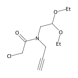 C#CCN(CC(OCC)OCC)C(=O)CCl